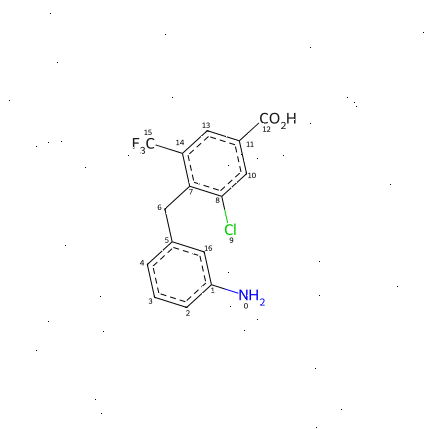 Nc1cccc(Cc2c(Cl)cc(C(=O)O)cc2C(F)(F)F)c1